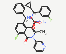 Cc1c(C(=O)N[C@H](c2cccc(F)c2)C2CC2)c2c([C@@H](CC(N)=O)c3ccccc3)ccc(F)c2c(=O)n1-c1cccnc1